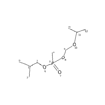 CC(C)COP(C)(=O)OCOC(C)C